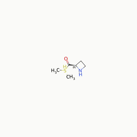 C[SH](C)C(=O)[C@H]1CCN1